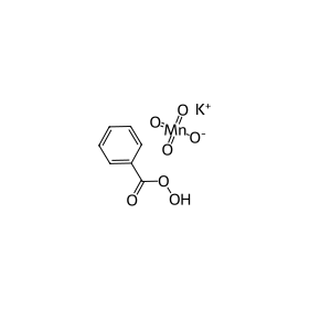 O=C(OO)c1ccccc1.[K+].[O]=[Mn](=[O])(=[O])[O-]